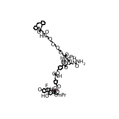 CCCC1O[C@@H]2C[C@H]3[C@@H]4C[C@H](F)C5=CC(=O)C=C[C@]5(C)[C@@]4(F)[C@@H](O)C[C@]3(C)C2(C(=O)COC(=O)c2ccc(CNC(=O)OCc3ccc(NC(=O)[C@H](CCCNC(N)=O)NC(=O)[C@@H](NC(=O)CCOCCOCCOCCOCCNC(=O)CCC(=O)N4Cc5ccccc5/C=C\c5ccccc54)C(C)C)cc3)cc2)O1